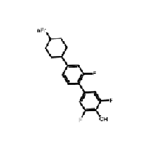 CCCC1CCC(c2ccc(-c3cc(F)c(O)c(F)c3)c(F)c2)CC1